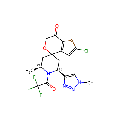 C[C@H]1CC2(C[C@@H](c3cn(C)nn3)N1C(=O)C(F)(F)F)OCC(=O)c1sc(Cl)cc12